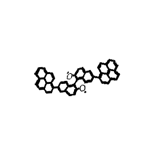 COc1ccc2cc(C3=C4C=CC5=CC=CC6=CC=C(C=C3)C4C56)ccc2c1-c1c(OC)ccc2cc(-c3ccc4ccc5cccc6ccc3c4c56)ccc12